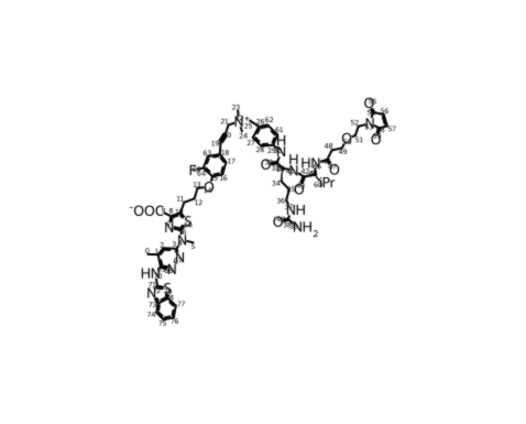 Cc1cc(N(C)c2nc(C(=O)[O-])c(CCCOc3ccc(C#CC[N+](C)(C)Cc4ccc(NC(=O)[C@H](CCCNC(N)=O)NC(=O)[C@@H](NC(=O)CCOCCN5C(=O)C=CC5=O)C(C)C)cc4)cc3F)s2)nnc1Nc1nc2ccccc2s1